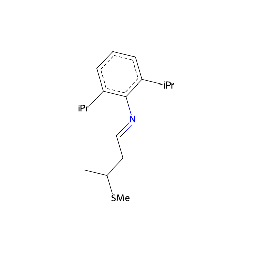 CSC(C)CC=Nc1c(C(C)C)cccc1C(C)C